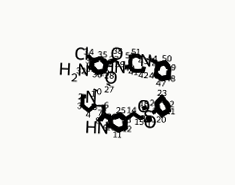 CN1CCC[C@@H]1Cc1c[nH]c2ccc(CCS(=O)(=O)c3ccccc3)cc12.COc1cc(N)c(Cl)cc1C(=O)NC1CCN(Cc2ccccc2)CC1